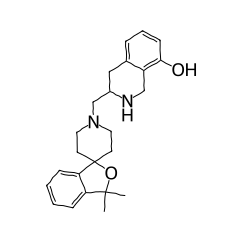 CC1(C)OC2(CCN(CC3Cc4cccc(O)c4CN3)CC2)c2ccccc21